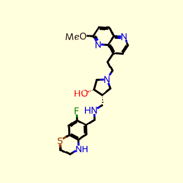 COc1ccc2nccc(CCN3C[C@H](CNCc4cc5c(cc4F)SCCN5)[C@H](O)C3)c2n1